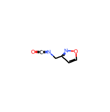 O=C=NCc1ccon1